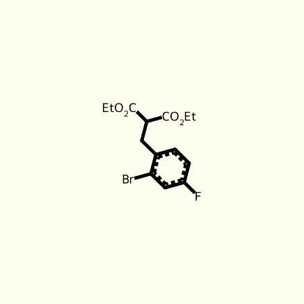 CCOC(=O)C(Cc1ccc(F)cc1Br)C(=O)OCC